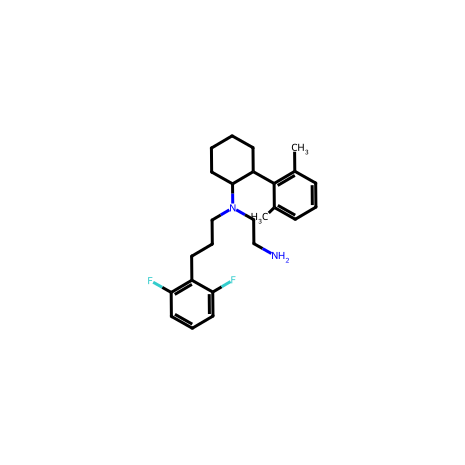 Cc1cccc(C)c1C1CCCCC1N(CCN)CCCc1c(F)cccc1F